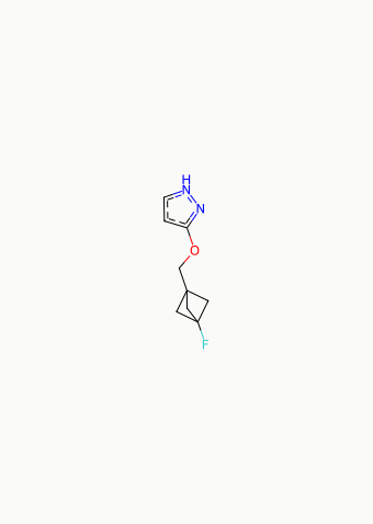 FC12CC(COc3cc[nH]n3)(C1)C2